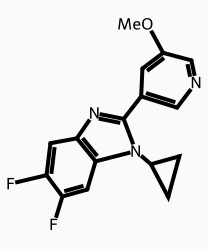 COc1cncc(-c2nc3cc(F)c(F)cc3n2C2CC2)c1